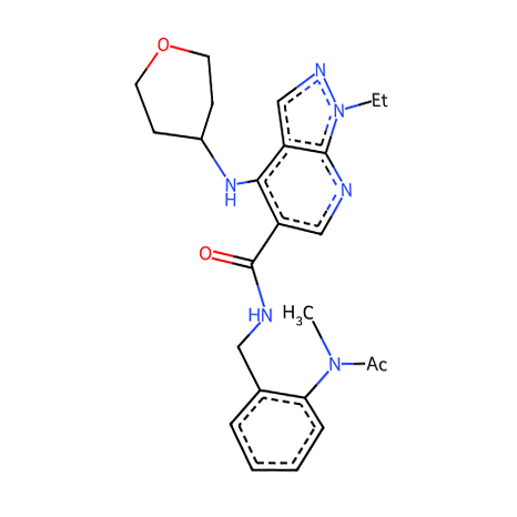 CCn1ncc2c(NC3CCOCC3)c(C(=O)NCc3ccccc3N(C)C(C)=O)cnc21